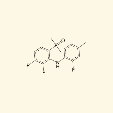 Cc1ccc(Nc2c(P(C)(C)=O)ccc(F)c2F)c(F)c1